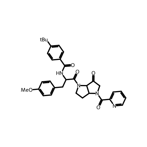 COc1ccc(CC(NC(=O)c2ccc(C(C)(C)C)cc2)C(=O)N2CCC3C2C(=O)CN3C(=O)c2ccccn2)cc1